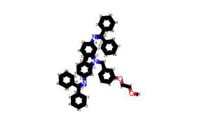 COCCOc1cccc(Cn2c3cc(N=C(c4ccccc4)c4ccccc4)ccc3c3ccc(N=C(c4ccccc4)c4ccccc4)cc32)c1